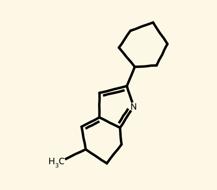 CC1C=C2C=C(C3CCCCC3)N=C2CC1